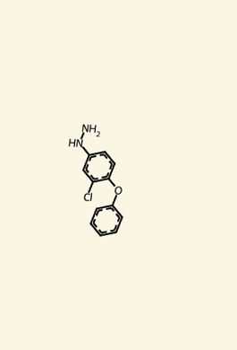 NNc1ccc(Oc2ccccc2)c(Cl)c1